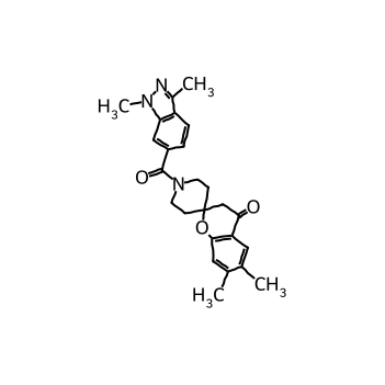 Cc1cc2c(cc1C)C(=O)CC1(CCN(C(=O)c3ccc4c(C)nn(C)c4c3)CC1)O2